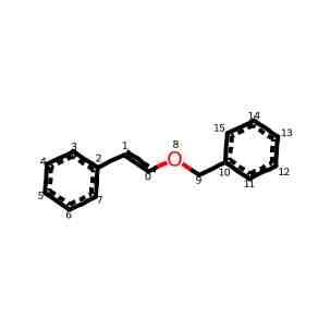 [C](=Cc1ccccc1)OCc1ccccc1